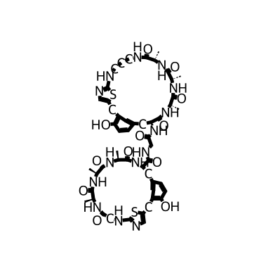 C[C@@H]1NC(=O)CNc2ncc(s2)Cc2cc(ccc2O)CC(C(=O)NCC(=O)N[C@H]2Cc3ccc(O)c(c3)Cc3cnc(s3)NCCCNC(=O)[C@H](C)NC(=O)[C@H](C)NC(=O)[C@H](C)NC2=O)NC(=O)[C@H](C)NC(=O)[C@H](C)NC1=O